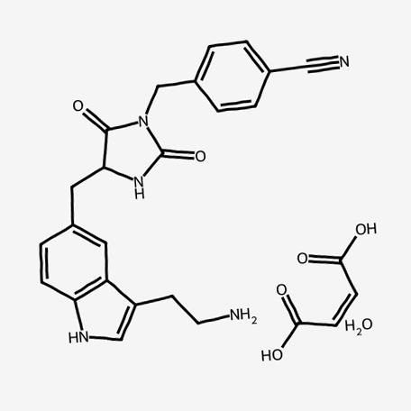 N#Cc1ccc(CN2C(=O)NC(Cc3ccc4[nH]cc(CCN)c4c3)C2=O)cc1.O.O=C(O)/C=C\C(=O)O